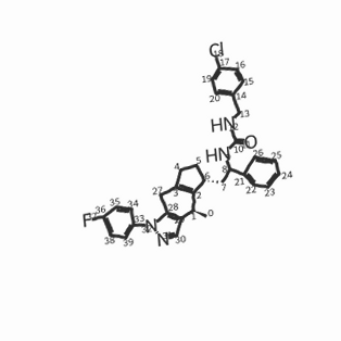 C[C@@H]1C2=C(CC[C@@H]2CC(NC(=O)NCc2ccc(Cl)cc2)c2ccccc2)Cc2c1cnn2-c1ccc(F)cc1